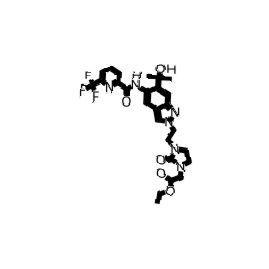 CCOC(=O)CN1CCN(CCn2cc3cc(NC(=O)c4cccc(C(F)(F)F)n4)c(C(C)(C)O)cc3n2)C1=O